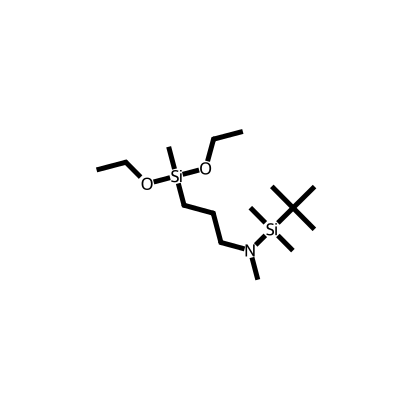 CCO[Si](C)(CCCN(C)[Si](C)(C)C(C)(C)C)OCC